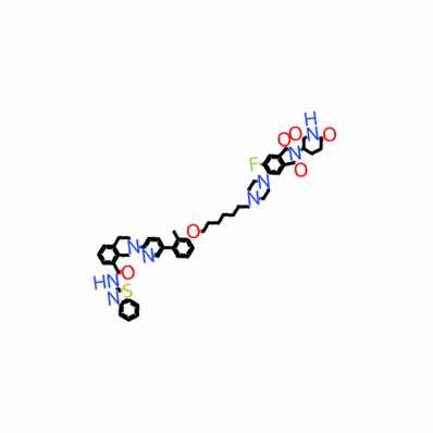 Cc1c(OCCCCCCCN2CCN(c3cc4c(cc3F)C(=O)N(C3CCC(=O)NC3=O)C4=O)CC2)cccc1-c1ccc(N2CCc3cccc(C(=O)Nc4nc5ccccc5s4)c3C2)nc1